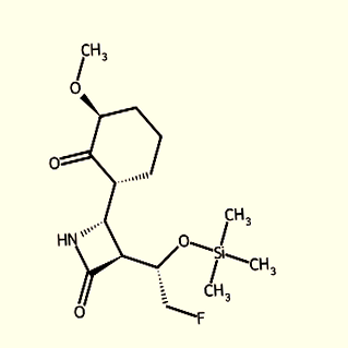 CO[C@H]1CCC[C@H]([C@H]2NC(=O)[C@@H]2[C@@H](CF)O[Si](C)(C)C)C1=O